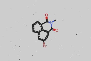 [CH2]N1C(=O)c2cccc3cc(Br)cc(c23)C1=O